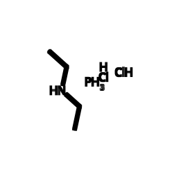 CCNCC.Cl.Cl.P